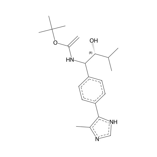 C=C(NC(c1ccc(-c2[nH]cnc2C)cc1)[C@H](O)C(C)C)OC(C)(C)C